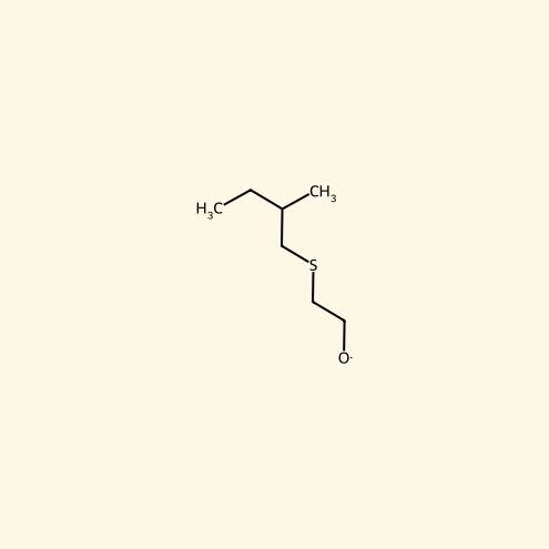 CCC(C)CSCC[O]